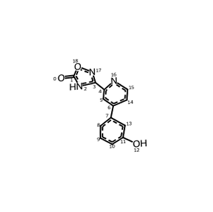 O=c1[nH]c(-c2cc(-c3cccc(O)c3)ccn2)no1